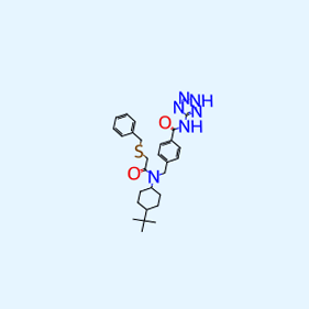 CC(C)(C)C1CCC(N(Cc2ccc(C(=O)Nc3nn[nH]n3)cc2)C(=O)CSCc2ccccc2)CC1